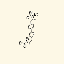 CCC(=O)N(CC)C(C)Cc1ccc(-c2ccc(CC(C)N(CC)C(=O)CC)cc2)cc1